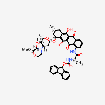 CO[C@H]1OCCN2[C@@H]1O[C@@H]1[C@H](C)O[C@@H](O[C@H]3C[C@H](C(C)=O)Cc4c(O)c5c(c(O)c43)C(=O)c3c(NC(=O)[C@H](C)NC(=O)OC4c6ccccc6-c6ccccc64)cccc3C5=O)C[C@@H]12